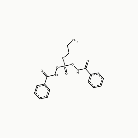 CCCOP(=O)(ONC(=O)c1ccccc1)ONC(=O)c1ccccc1